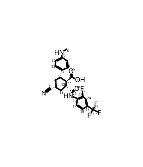 CNc1ccc([C@H]2C[C@@H](C#N)C[C@@H](C(=O)Nc3ccc(C(F)(F)F)cc3F)[C@@H]2C(=O)O)cc1